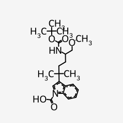 COCC(CCC(C)(C)c1cn(C(=O)O)c2ccccc12)NC(=O)OC(C)(C)C